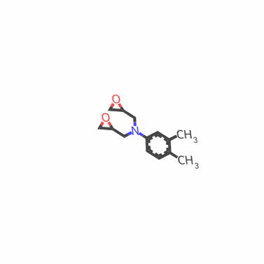 Cc1ccc(N(CC2CO2)CC2CO2)cc1C